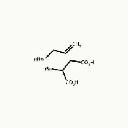 C=CCCCCCCCCCC.CCCCC(CC(=O)O)C(=O)O